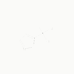 CC(C)(S)c1ccns1